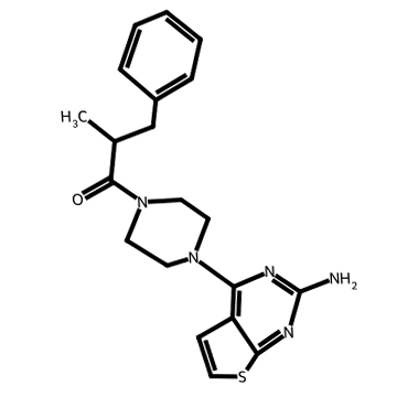 CC(Cc1ccccc1)C(=O)N1CCN(c2nc(N)nc3sccc23)CC1